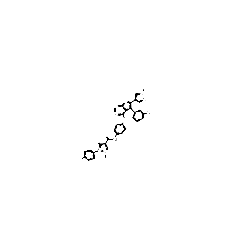 Cn1cc(-c2sc3ncnc(Oc4ccc(NC(=O)c5cn(C)n(-c6ccc(F)cc6)c5=O)cc4)c3c2-c2cccc(N)c2)cn1